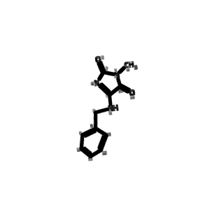 CN1C(=O)N=C(NCc2ccccc2)C1=O